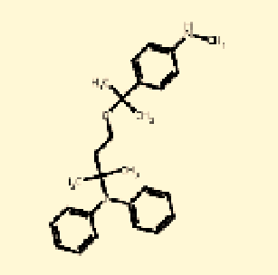 CNc1ccc(C(C)(C)OCCC(C)(C)P(c2ccccc2)c2ccccc2)cc1